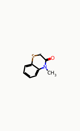 CN1C(=O)[C]Sc2ccccc21